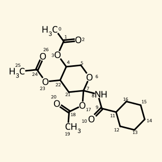 CC(=O)OC1COC(NC(=O)C2CCCCC2)(OC(C)=O)CC1OC(C)=O